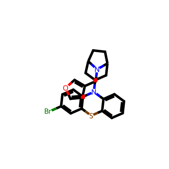 Brc1ccc2c(c1)Sc1ccccc1N2C1CC2CCC(C1)N2Cc1ccoc1